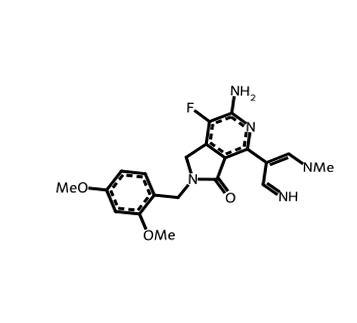 CN/C=C(\C=N)c1nc(N)c(F)c2c1C(=O)N(Cc1ccc(OC)cc1OC)C2